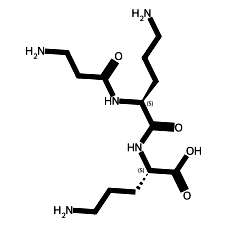 NCCC[C@H](NC(=O)[C@H](CCCN)NC(=O)CCN)C(=O)O